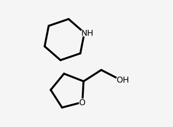 C1CCNCC1.OCC1CCCO1